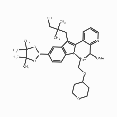 COC(C)c1ncccc1-c1c(CC(C)(C)CO)c2cc(B3OC(C)(C)C(C)(C)O3)ccc2n1CCOC1CCOCC1